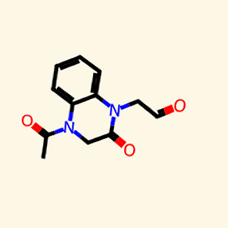 CC(=O)N1CC(=O)N(CC=O)c2ccccc21